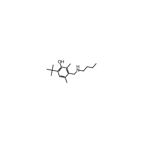 CCCCNCc1c(C)cc(C(C)(C)C)c(O)c1C